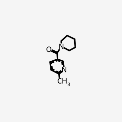 Cc1ccc(C(=O)N2CCCCC2)cn1